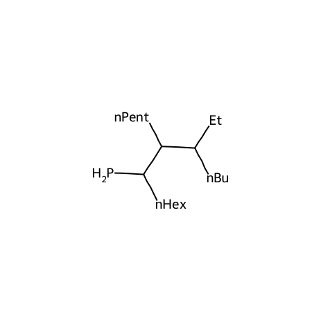 CCCCCCC(P)C(CCCCC)C(CC)CCCC